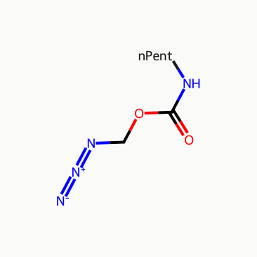 CCCCCNC(=O)OCN=[N+]=[N-]